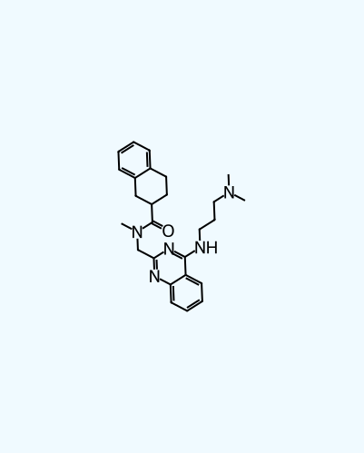 CN(C)CCCNc1nc(CN(C)C(=O)C2CCc3ccccc3C2)nc2ccccc12